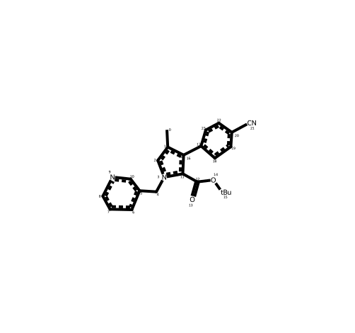 Cc1cn(Cc2cccnc2)c(C(=O)OC(C)(C)C)c1-c1ccc(C#N)cc1